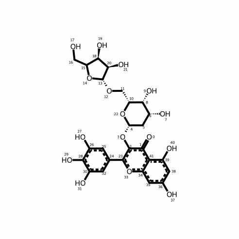 O=c1c(O[C@H]2C[C@@H](O)[C@@H](O)[C@@H](CO[C@@H]3OC(CO)[C@@H](O)[C@H]3O)O2)c(-c2cc(O)c(O)c(O)c2)oc2cc(O)cc(O)c12